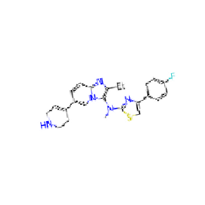 CCc1nc2ccc(C3=CCNCC3)cn2c1N(C)c1nc(-c2ccc(F)cc2)cs1